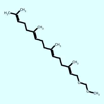 COCOC/C=C(\C)CC/C=C(\C)CC/C=C(\C)CCC=C(C)C